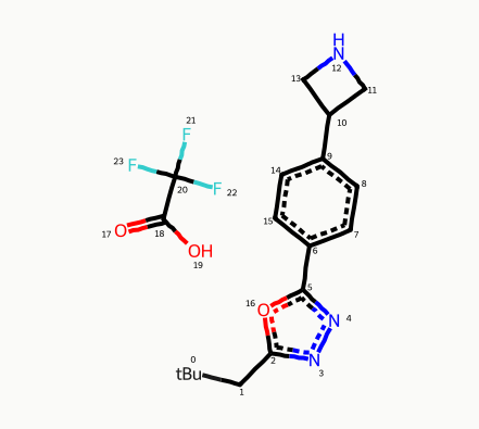 CC(C)(C)Cc1nnc(-c2ccc(C3CNC3)cc2)o1.O=C(O)C(F)(F)F